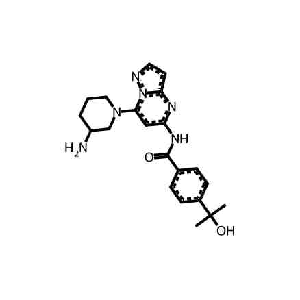 CC(C)(O)c1ccc(C(=O)Nc2cc(N3CCCC(N)C3)n3nccc3n2)cc1